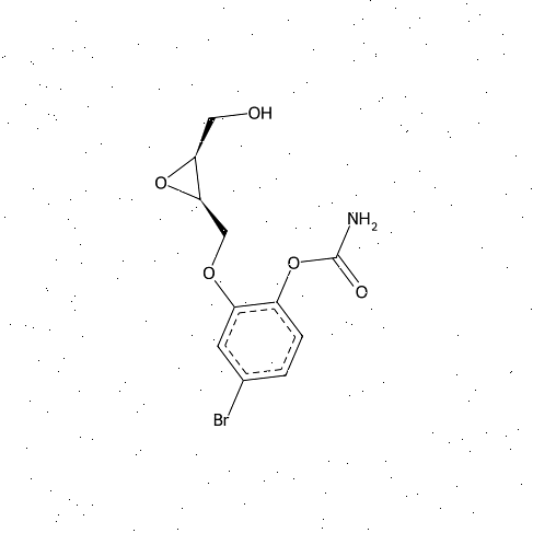 NC(=O)Oc1ccc(Br)cc1OC[C@H]1O[C@H]1CO